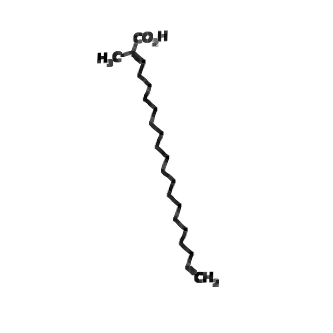 C=CCCCCCCCCCCCCCCCCC=C(C)C(=O)O